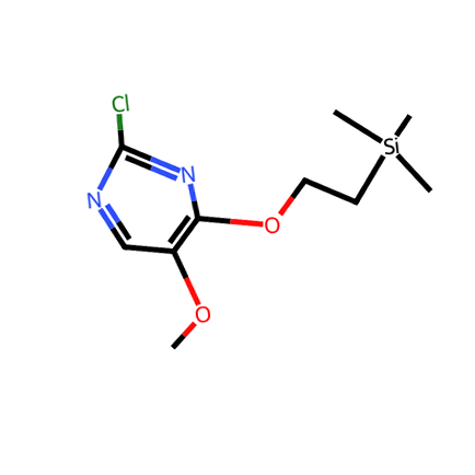 COc1cnc(Cl)nc1OCC[Si](C)(C)C